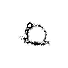 CN1CCOCCOCCOc2ccccc2-c2coc(c2)-c2nc(cnc2N)-c2ccc(cc2)S1(=O)=O